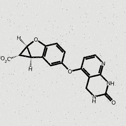 O=C1NCc2c(Oc3ccc4c(c3)[C@@H]3[C@H](O4)[C@H]3C(=O)O)ccnc2N1